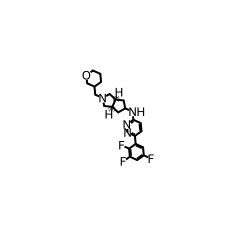 Fc1cc(F)c(F)c(-c2ccc(NC3C[C@@H]4CN(CC5CCCOC5)C[C@@H]4C3)nn2)c1